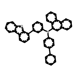 c1ccc(-c2ccc(N(c3cccc(-c4cccc5c4oc4ccccc45)c3)c3cc4ccccc4c4ccccc34)cc2)cc1